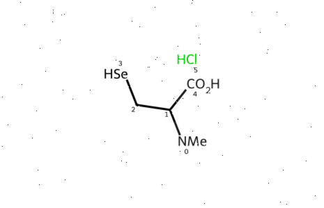 CNC(C[SeH])C(=O)O.Cl